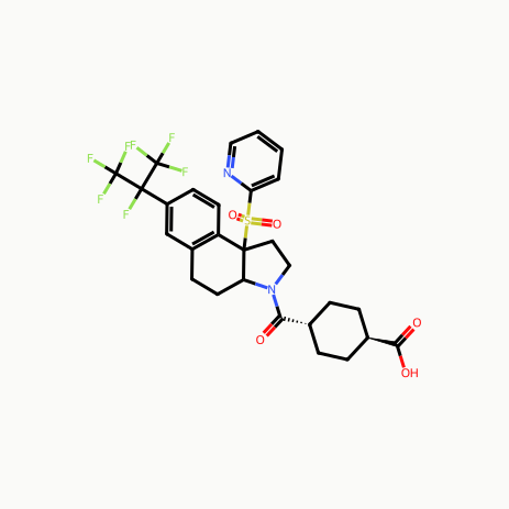 O=C(O)[C@H]1CC[C@H](C(=O)N2CCC3(S(=O)(=O)c4ccccn4)c4ccc(C(F)(C(F)(F)F)C(F)(F)F)cc4CCC23)CC1